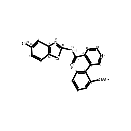 COc1ccccc1-c1cnccc1C(=O)Nc1nc2cc(Cl)ccc2s1